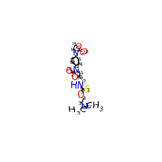 CN(C)CCOC(=S)NC[C@H]1CN(c2ccc(N3CCOC3=O)cc2)C(=O)O1